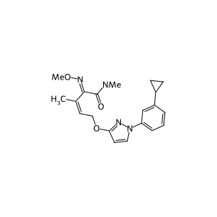 CNC(=O)C(=N/OC)/C(C)=C\COc1ccn(-c2cccc(C3CC3)c2)n1